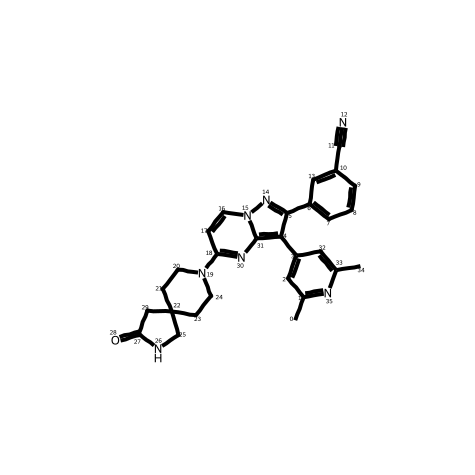 Cc1cc(-c2c(-c3cccc(C#N)c3)nn3ccc(N4CCC5(CC4)CNC(=O)C5)nc23)cc(C)n1